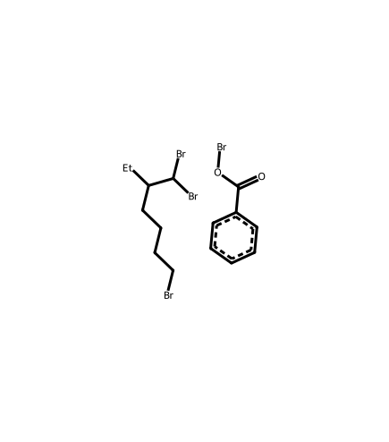 CCC(CCCCBr)C(Br)Br.O=C(OBr)c1ccccc1